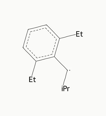 CCc1cccc(CC)c1[CH]C(C)C